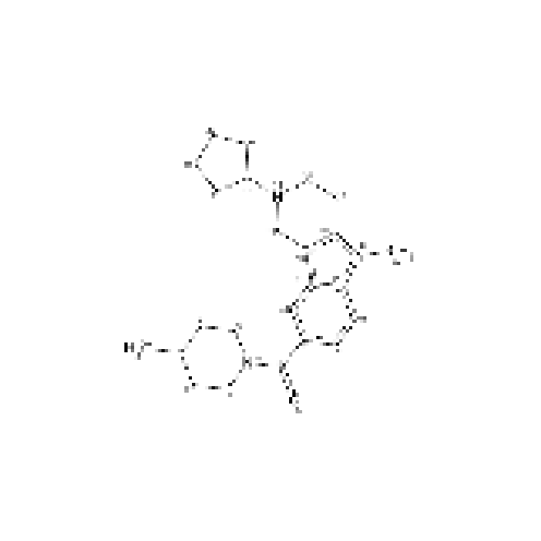 CC1CCN(C(=O)c2ccc3c(c2)c2c(n3C)CCN(C3CCCC3)C2)CC1